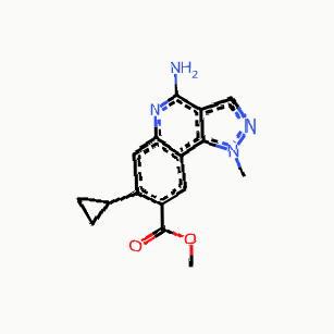 COC(=O)c1cc2c(cc1C1CC1)nc(N)c1cnn(C)c12